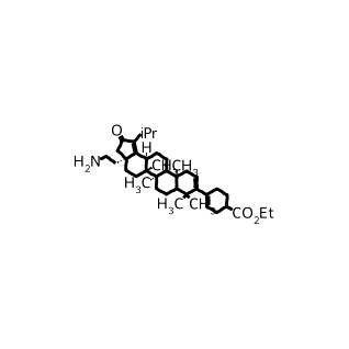 CCOC(=O)C1CC=C(C2=CC[C@@]3(C)C(CC[C@]4(C)C3CC[C@@H]3C5=C(C(C)C)C(=O)C[C@]5(CCN)CC[C@]34C)C2(C)C)CC1